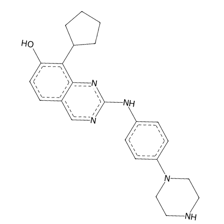 Oc1ccc2cnc(Nc3ccc(N4CCNCC4)cc3)nc2c1C1CCCC1